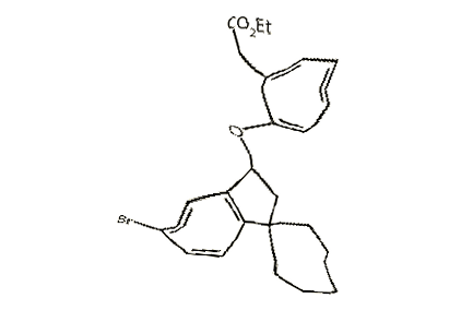 CCOC(=O)Cc1ccccc1OC1CC2(CCCCC2)c2ccc(Br)cc21